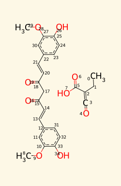 CCC(=C=O)C(=O)O.COc1cc(C=CC(=O)CC(=O)C=Cc2ccc(O)c(OC)c2)ccc1O